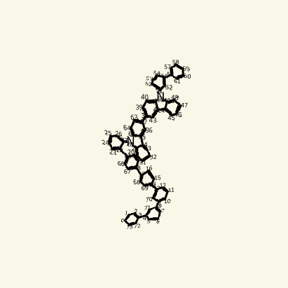 c1ccc(-c2cccc(-c3cccc(-c4ccc(-c5ccc(-c6ccccc6-n6c7ccccc7c7cc(-c8ccc9c(c8)c8ccccc8n9-c8cccc(-c9ccccc9)c8)ccc76)cc5)cc4)c3)c2)cc1